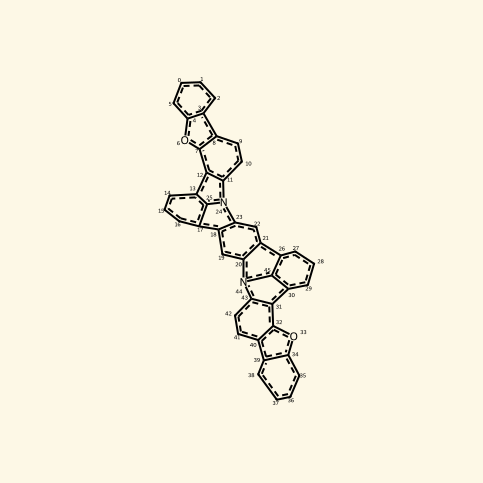 c1ccc2c(c1)oc1c2ccc2c1c1cccc3c4cc5c(cc4n2c31)c1cccc2c3c4oc6ccccc6c4ccc3n5c12